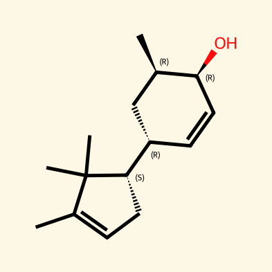 CC1=CC[C@@H]([C@H]2C=C[C@H](O)[C@H](C)C2)C1(C)C